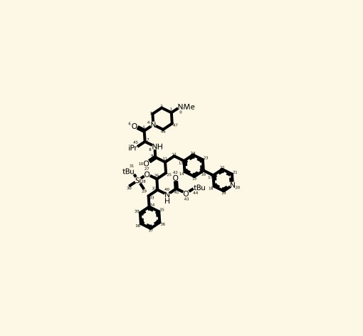 CNC1CCN(C(=O)C(NC(=O)C(Cc2ccc(-c3ccncc3)cc2)CC(O[Si](C)(C)C(C)(C)C)C(Cc2ccccc2)NC(=O)OC(C)(C)C)C(C)C)CC1